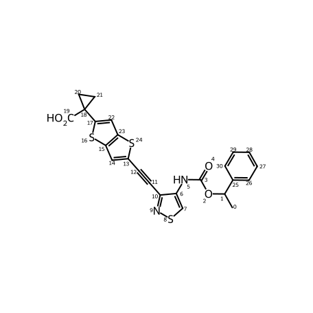 CC(OC(=O)Nc1csnc1C#Cc1cc2sc(C3(C(=O)O)CC3)cc2s1)c1ccccc1